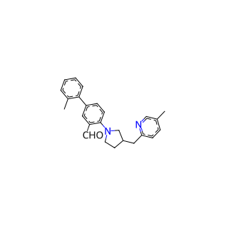 Cc1ccc(CC2CCN(c3ccc(-c4ccccc4C)cc3C=O)C2)nc1